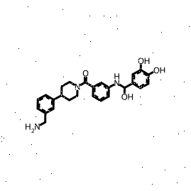 NCc1cccc(C2CCN(C(=O)c3cccc(NC(O)c4ccc(O)c(O)c4)c3)CC2)c1